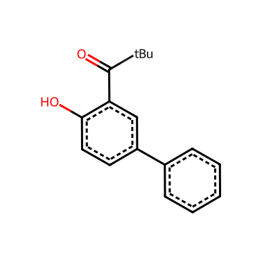 CC(C)(C)C(=O)c1cc(-c2ccccc2)ccc1O